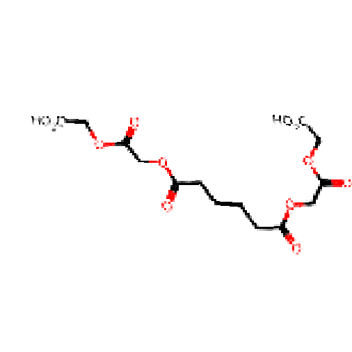 O=C(O)COC(=O)COC(=O)CCCCC(=O)OCC(=O)OCC(=O)O